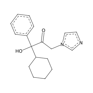 O=C(Cn1ccnc1)C(O)(c1ccccc1)C1CCCCC1